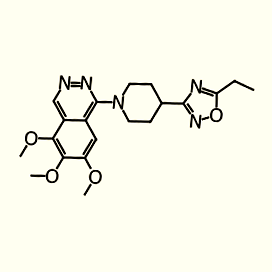 CCc1nc(C2CCN(c3nncc4c(OC)c(OC)c(OC)cc34)CC2)no1